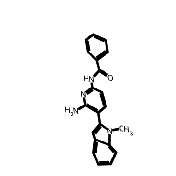 Cn1c(-c2ccc(NC(=O)c3ccccc3)nc2N)cc2ccccc21